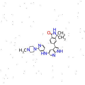 CN1CCN(c2cc(Nc3cnc4[nH]cc(-c5ccc6c(c5)C(C)(C)NC6=O)c4c3)ccn2)CC1